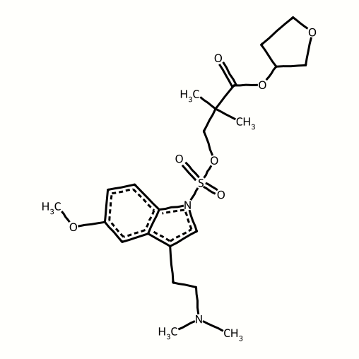 COc1ccc2c(c1)c(CCN(C)C)cn2S(=O)(=O)OCC(C)(C)C(=O)OC1CCOC1